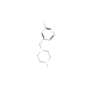 CN1CCN(Cc2ccnc(N)c2)CC1